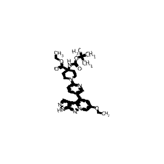 CCOC(=O)C1(NC(=O)OC(C)(C)C)CCN(c2ccc(-c3cc(OCC)cn4nc5[nH]ncc5c34)cn2)CC1